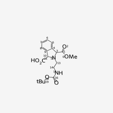 COC(=O)C1c2ccccc2C(C(=O)O)N1CCNC(=O)OC(C)(C)C